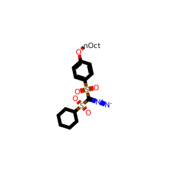 CCCCCCCCOc1ccc(S(=O)(=O)C(=[N+]=[N-])S(=O)(=O)C2CCCCC2)cc1